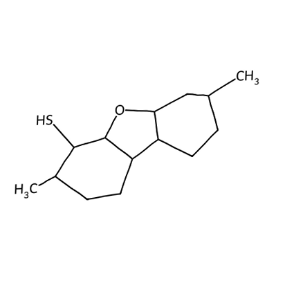 CC1CCC2C(C1)OC1C(S)C(C)CCC21